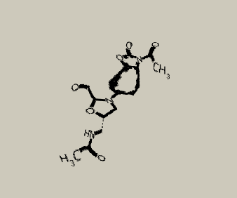 CC(=O)NC[C@H]1CN(c2ccc3c(c2)oc(=O)n3C(C)=O)C(C=O)O1